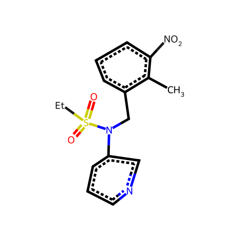 CCS(=O)(=O)N(Cc1cccc([N+](=O)[O-])c1C)c1cccnc1